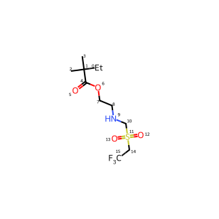 CCC(C)(C)C(=O)OCCNCS(=O)(=O)CC(F)(F)F